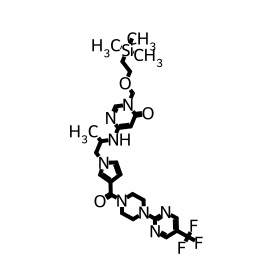 CC(Cn1ccc(C(=O)N2CCN(c3ncc(C(F)(F)F)cn3)CC2)c1)Nc1cc(=O)n(COCC[Si](C)(C)C)cn1